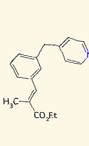 CCOC(=O)C(C)=Cc1cccc(Cc2ccncc2)c1